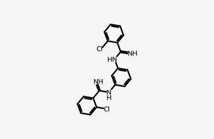 N=C(Nc1cccc(NC(=N)c2ccccc2Cl)c1)c1ccccc1Cl